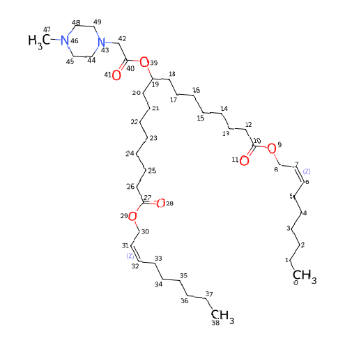 CCCCCC/C=C\COC(=O)CCCCCCCC(CCCCCCCC(=O)OC/C=C\CCCCCC)OC(=O)CN1CCN(C)CC1